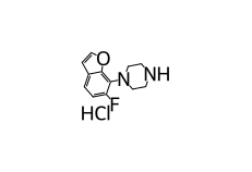 Cl.Fc1ccc2ccoc2c1N1CCNCC1